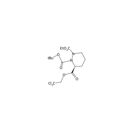 CCOC(=O)N1CCC[C@@H](C(=O)OCC(Cl)(Cl)Cl)N1C(=O)OC(C)(C)C